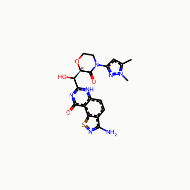 Cc1cc(N2CCO[C@H](C(O)c3nc(=O)c4c(ccc5c(N)nsc54)[nH]3)C2=O)nn1C